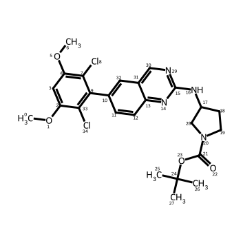 COc1cc(OC)c(Cl)c(-c2ccc3nc(NC4CCN(C(=O)OC(C)(C)C)C4)ncc3c2)c1Cl